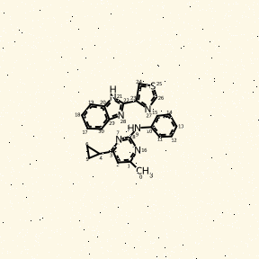 Cc1cc(C2CC2)nc(Nc2ccccc2)n1.c1ccc2[nH]c(-c3cscn3)nc2c1